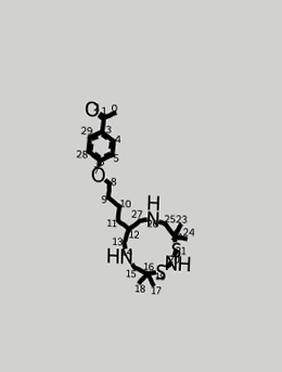 CC(=O)c1ccc(OCCCCC2CNCC(C)(C)SNSC(C)(C)CNC2)cc1